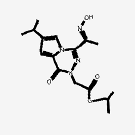 CC(=NO)c1nn(CC(=O)OC(C)C)c(=O)c2cc(C(C)C)cn12